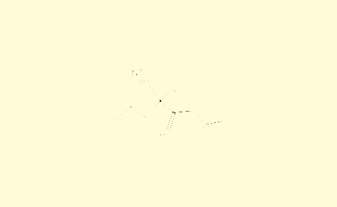 CCCC(C)(C#N)C(=O)OCC